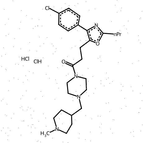 CCCc1nc(-c2ccc(Cl)cc2)c(CCC(=O)N2CCN(CC3CCN(C)CC3)CC2)o1.Cl.Cl